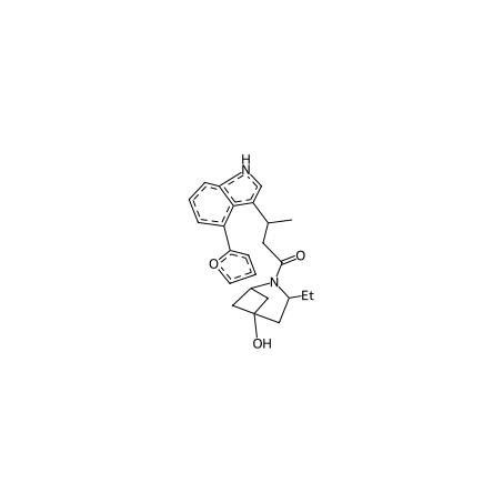 CCC1CC2(O)CC(C2)N1C(=O)CC(C)c1c[nH]c2cccc(-c3ccco3)c12